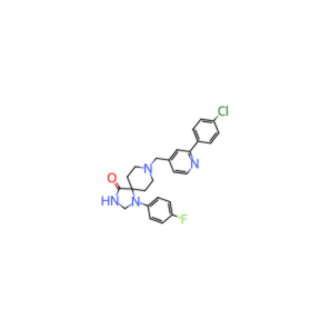 O=C1NCN(c2ccc(F)cc2)C12CCN(Cc1ccnc(-c3ccc(Cl)cc3)c1)CC2